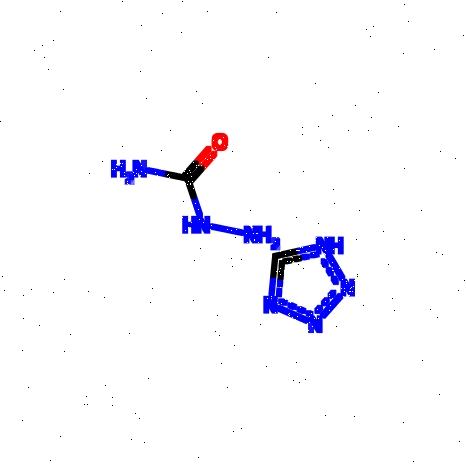 NNC(N)=O.c1nnn[nH]1